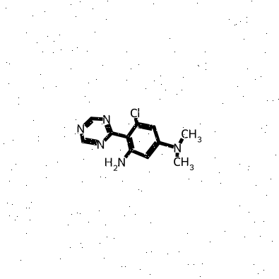 CN(C)c1cc(N)c(-c2ncncn2)c(Cl)c1